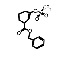 O=C(OCc1ccccc1)C1C=C(OS(=O)(=O)C(F)(F)F)CCC1